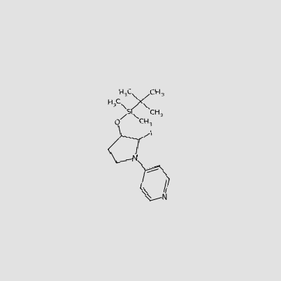 CC(C)(C)[Si](C)(C)OC1CCN(c2ccncc2)C1I